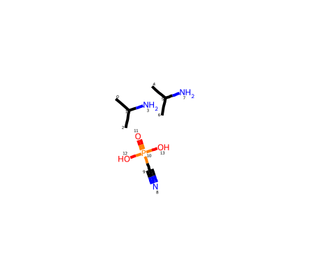 CC(C)N.CC(C)N.N#CP(=O)(O)O